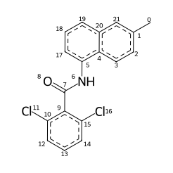 Cc1ccc2c(NC(=O)c3c(Cl)cccc3Cl)cccc2c1